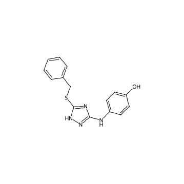 Oc1ccc(Nc2n[nH]c(SCc3ccccc3)n2)cc1